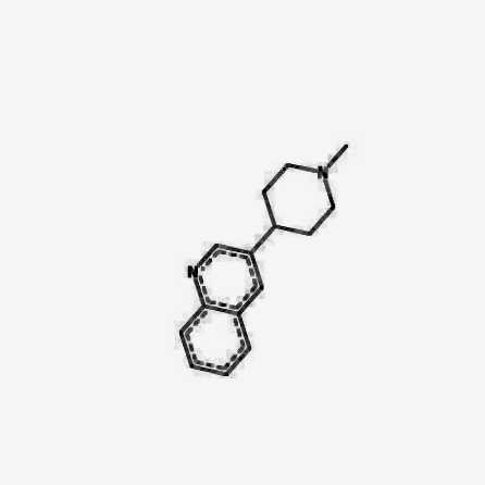 CN1CCC(c2cnc3ccccc3c2)CC1